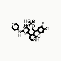 O=c1[nH]ccc(-c2ccnc(NC3CCOCC3)n2)c1C(COP(=O)(O)O)c1ccc(Cl)c(F)c1